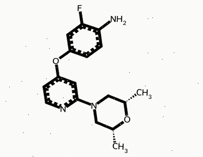 C[C@@H]1CN(c2cc(Oc3ccc(N)c(F)c3)ccn2)C[C@H](C)O1